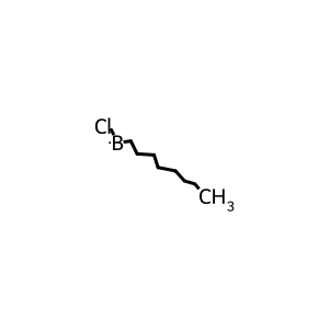 CCCCCCCC[B]Cl